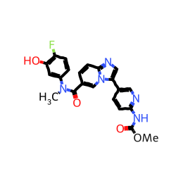 COC(=O)Nc1ccc(-c2cnc3ccc(C(=O)N(C)c4ccc(F)c(O)c4)cn23)cn1